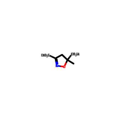 CCOC(=O)C1=NOC(C)(C(=O)OCC)C1